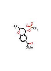 COC(=O)c1ccc2c(c1)C(OS(=O)(=O)C(F)(F)F)CC(C)O2